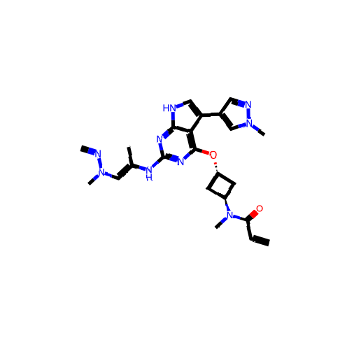 C=CC(=O)N(C)[C@H]1C[C@H](Oc2nc(N/C(C)=C/N(C)N=C)nc3[nH]cc(-c4cnn(C)c4)c23)C1